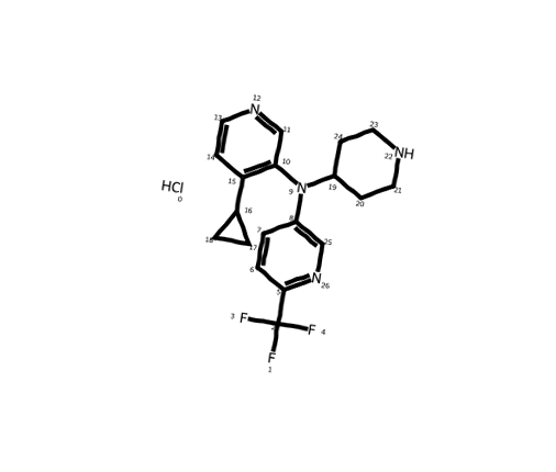 Cl.FC(F)(F)c1ccc(N(c2cnccc2C2CC2)C2CCNCC2)cn1